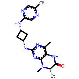 CC[C@H]1C(=O)Nc2c(C)nc(N[C@H]3C[C@@H](Nc4cnc(C(F)(F)F)cn4)C3)nc2N1C